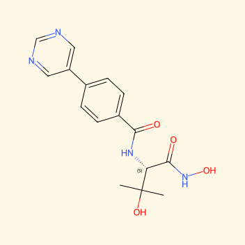 CC(C)(O)[C@H](NC(=O)c1ccc(-c2cncnc2)cc1)C(=O)NO